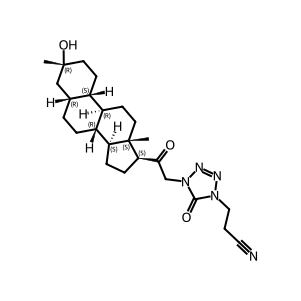 C[C@@]1(O)CC[C@H]2[C@H](CC[C@@H]3[C@@H]2CC[C@]2(C)[C@@H](C(=O)Cn4nnn(CCC#N)c4=O)CC[C@@H]32)C1